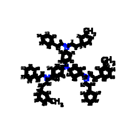 Cc1cccc(CCN(CCc2ccccc2)c2ccc(N(c3ccc(N(CCc4ccccc4)CCc4cccc(C)c4)cc3)c3ccc(N(CCc4ccccc4)CCc4cccc(C)c4)cc3)cc2)c1